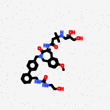 COc1ccc2c(c1)C[C@@H](NC(=O)CC(C)(C)NC[C@H](O)CO)C(=O)N(Cc1ccc(-c3ccccc3CNC(=O)NCCO)cc1)C2